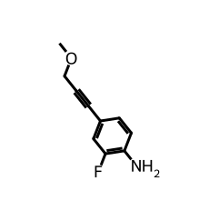 COCC#Cc1ccc(N)c(F)c1